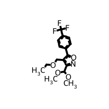 CCOCc1c(C(OC)OC)noc1-c1ccc(C(F)(F)F)cc1